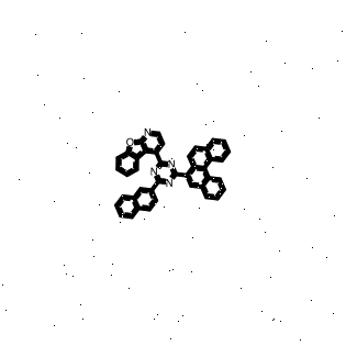 c1ccc2cc(-c3nc(-c4cc5ccccc5c5c4ccc4ccccc45)nc(-c4ccnc5oc6ccccc6c45)n3)ccc2c1